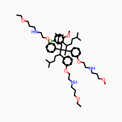 CCOCCCNCCOc1cccc([C](CCC(C)C)C(CCC(C)C)(c2cccc(OCCNCCCOCC)c2)C(C)(c2cccc(OCCNCCCOC)c2)C(CCC(C)C)c2cc(Cl)ccc2OC)c1